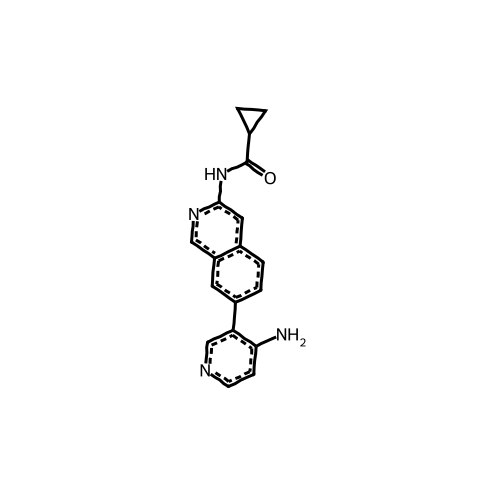 Nc1ccncc1-c1ccc2cc(NC(=O)C3CC3)ncc2c1